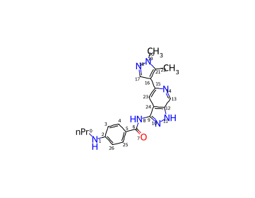 CCCNc1ccc(C(=O)Nc2n[nH]c3cnc(-c4cnn(C)c4C)cc23)cc1